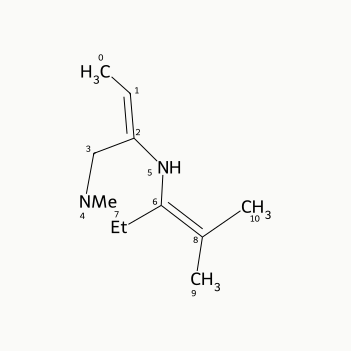 C/C=C(\CNC)NC(CC)=C(C)C